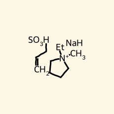 C=CCS(=O)(=O)O.CC[N+]1(C)CCCC1.[NaH]